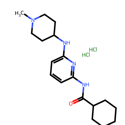 CN1CCC(Nc2cccc(NC(=O)C3CCCCC3)n2)CC1.Cl.Cl